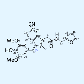 COc1cc(/C=C2/C(C)=C(CC(=O)NCc3ccco3)c3cc(C#N)ccc32)cc(OC)c1O